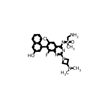 CN(C)C1CN(c2nc(N=S(C)(=O)CN)c3cc(Cl)c(-c4cc(O)cc5ccccc45)c(F)c3n2)C1